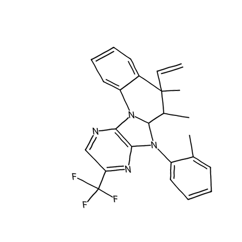 C=CC1(C)c2ccccc2N2c3ncc(C(F)(F)F)nc3N(c3ccccc3C)C2C1C